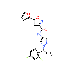 CC(c1ccc(F)cc1F)n1cc(NC(=O)c2cc(-c3ccco3)on2)cn1